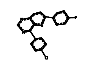 Fc1ccc(-c2ccc3ncnc(-c4ccc(Cl)cc4)c3n2)cc1